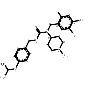 CC(C)Oc1ccc(COC(=O)N(Cc2cc(F)c(F)cc2F)C2CCN(C)CC2)cc1